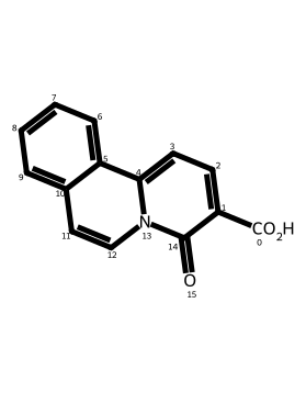 O=C(O)c1ccc2c3ccccc3ccn2c1=O